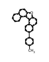 Cc1ccc(-c2ccc3c(ccc4oc5ccc6ccccc6c5c43)c2)cc1